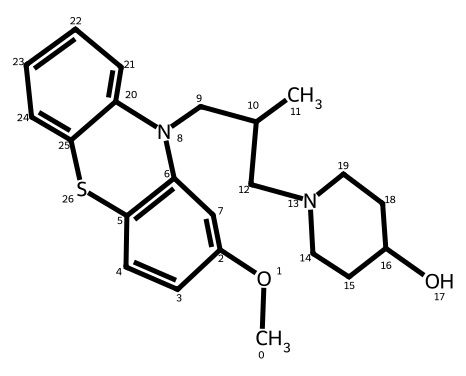 COc1ccc2c(c1)N(CC(C)CN1CCC(O)CC1)c1ccccc1S2